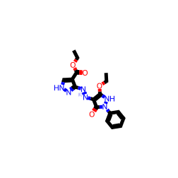 CCOC(=O)c1c[nH]nc1/N=N/c1c(OCC)[nH]n(-c2ccccc2)c1=O